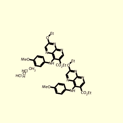 CCOC(=O)c1cnc2nc(OCC)cnc2c1Nc1ccc(OC)cc1.CCOC(=O)c1cnc2nc(OCC)cnc2c1Nc1ccc(OC)cc1.Cl.Cl.Cl.O